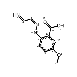 COc1ccc(N/N=C\C=N)c(C(=O)O)n1